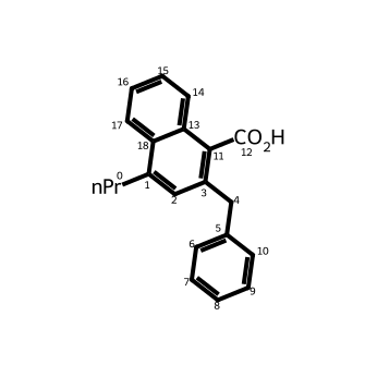 CCCc1cc(Cc2ccccc2)c(C(=O)O)c2ccccc12